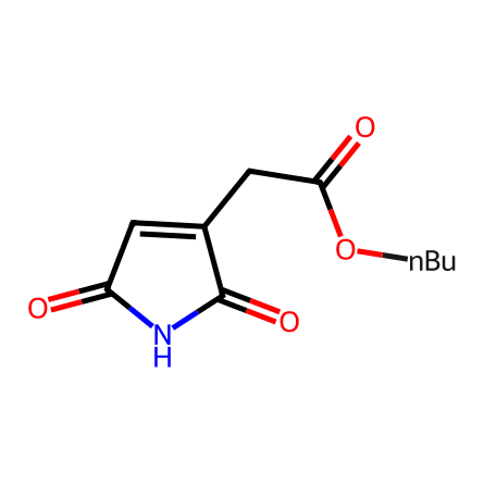 CCCCOC(=O)CC1=CC(=O)NC1=O